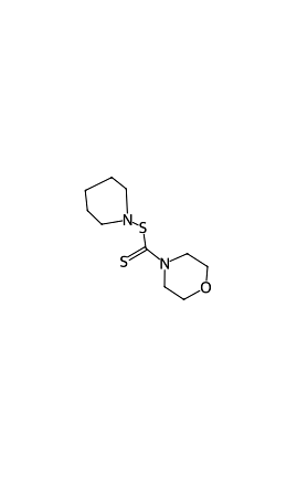 S=C(SN1CCCCC1)N1CCOCC1